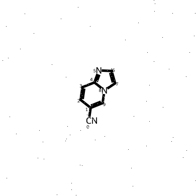 N#Cc1ccc2n[c]cn2c1